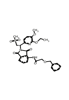 CCOc1nc([C@H](CS(C)(=O)=O)N2C(=O)c3cccc(NC(=O)COCc4ccccc4)c3C2=O)ccc1OC